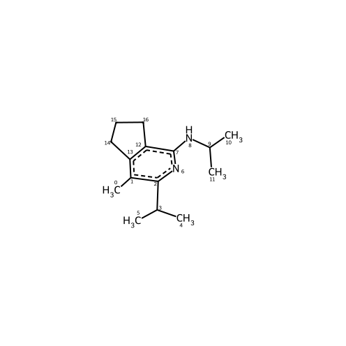 Cc1c(C(C)C)nc(NC(C)C)c2c1CCC2